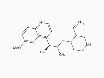 C=CC1CNCCC1CC(C)[C@@H](O)c1ccnc2ccc(OC)cc12